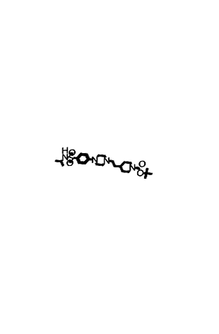 CC(C)NS(=O)(=O)c1ccc(N2CCN(CCC3CCN(C(=O)OC(C)(C)C)CC3)CC2)cc1